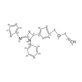 C#CCOCc1ccc(C2C/C(=N\c3ccccc3)N2c2ccccc2)cc1